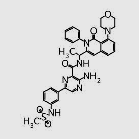 C[C@H](NC(=O)c1nc(-c2cccc(NS(C)(=O)=O)c2)cnc1N)c1cc2cccc(N3CCOCC3)c2c(=O)n1-c1ccccc1